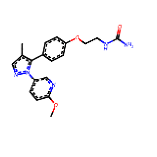 COc1ccc(-n2ncc(C)c2-c2ccc(OCCNC(N)=O)cc2)cn1